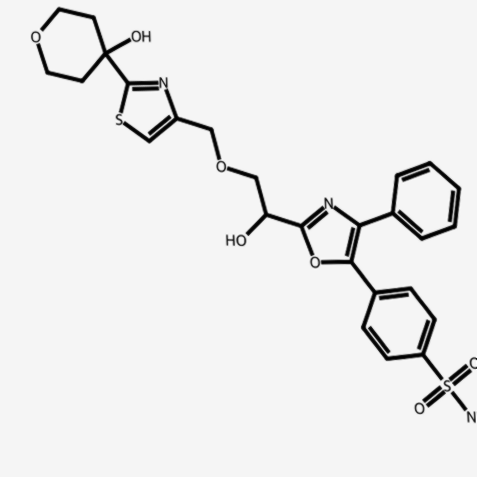 NS(=O)(=O)c1ccc(-c2oc(C(O)COCc3csc(C4(O)CCOCC4)n3)nc2-c2ccccc2)cc1